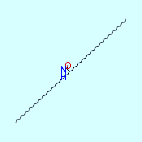 CCCCCCCCCCCCCCCCCCCCCCCCCCC(CCCCCCCCCCCCCCCCCCCCCCCCC)C(=O)NC